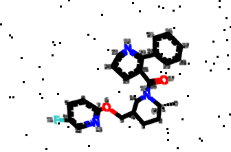 C[C@@H]1CCC(COc2ccc(F)cn2)CN1C(=O)c1cccnc1-c1ccccc1